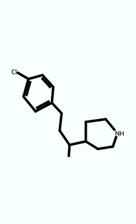 CC(CCc1ccc(Cl)cc1)C1CCNCC1